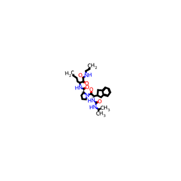 C=CCCC(NC(=O)[C@@H]1CCCN1C(=O)[C@@H](NC(=O)NC(C)C)C1Cc2ccccc2C1)C(=O)C(=O)NCC=C